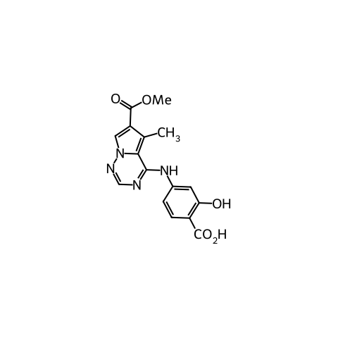 COC(=O)c1cn2ncnc(Nc3ccc(C(=O)O)c(O)c3)c2c1C